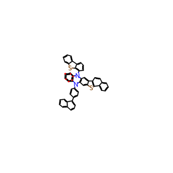 c1ccc(N(c2ccc(-c3cccc4ccccc34)cc2)c2cc3sc4c5ccccc5ccc4c3cc2N(c2ccccc2)c2cccc3c2sc2ccccc23)cc1